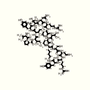 CC[C@H](C)[C@H](NC(=O)[C@@H](NC(=O)[C@@H]1CCCN1C(=O)[C@@H](N)C(C)C)[C@@H](C)CC)C(=O)N[C@@H](Cc1ccc(O)cc1)C(=O)N[C@H](C(=O)N[C@@H](CC(N)=O)C(=O)N[C@@H](CCCNC(=N)N)C(=O)N[C@@H](CCN)C(=O)N[C@H](C(=O)N[C@H](CCN)C(=O)N[C@@H](CCCCN)C(=O)N[C@@H](CS)C(=O)N[C@@H](CCN)C(=O)N[C@@H](CCCNC(=N)N)C(=O)N[C@@H](Cc1ccc(O)cc1)C(=O)O)[C@@H](C)O)C(C)(C)S